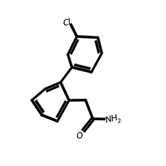 NC(=O)Cc1ccccc1-c1cccc(Cl)c1